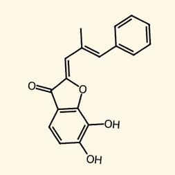 CC(=Cc1ccccc1)C=C1Oc2c(ccc(O)c2O)C1=O